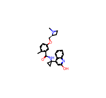 Cc1ccc(OC[C@@H]2CCN2C)cc1C(=O)NC1(c2cc(O)nc3ccccc23)CC1